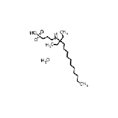 CCCCCCCCCCCC(CC)(CC)NCCCS(=O)(=O)O.O